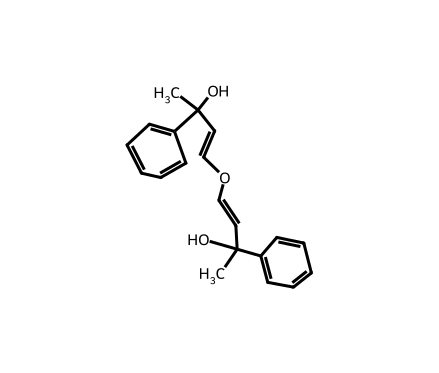 CC(O)(C=COC=CC(C)(O)c1ccccc1)c1ccccc1